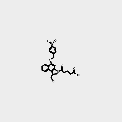 O=C(O)CCCC(=O)N1CC(CCl)c2c1cc(OCc1ccc([N+](=O)[O-])cc1)c1ccccc21